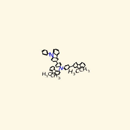 CC1(C)c2ccccc2-c2ccc(-c3ccc(N(c4ccc(-c5ccc6c(c5)c5ccccc5n6-c5ccccc5)cc4)c4cccc5c4-c4ccccc4C5(C)C)cc3)cc21